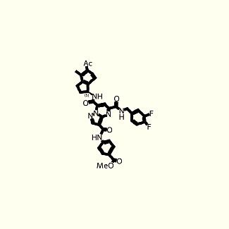 COC(=O)c1ccc(NC(=O)c2cnn3c(C(=O)N[C@H]4CCc5c4ccc(C(C)=O)c5C)cc(C(=O)NCc4ccc(F)c(F)c4)nc23)cc1